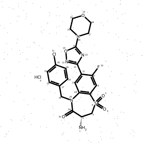 Cl.N[C@H]1CS(=O)(=O)c2cc(F)c(-c3noc(N4CCOCC4)n3)cc2N(Cc2ccc(Cl)cc2)C1=O